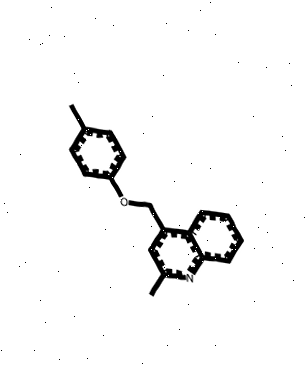 Cc1ccc(OCc2cc(C)nc3ccccc23)cc1